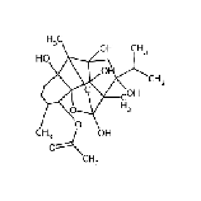 CC(=O)OC1C(C)CCC2(O)C3(C)CC4(O)OC12C1(O)C3(O)CC(O)(C(C)C)C41C